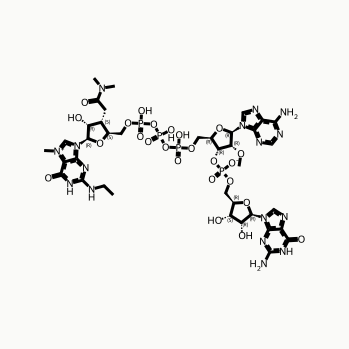 CCNc1nc2c(c(=O)[nH]1)[n+](C)cn2[C@@H]1O[C@H](COP(=O)(O)OP(=O)(O)OP(=O)(O)OC[C@H]2O[C@@H](n3cnc4c(N)ncnc43)[C@H](OC)[C@@H]2OP(=O)([O-])OC[C@H]2O[C@@H](n3cnc4c(=O)[nH]c(N)nc43)[C@H](O)[C@@H]2O)[C@@H](CC(=O)N(C)C)[C@H]1O